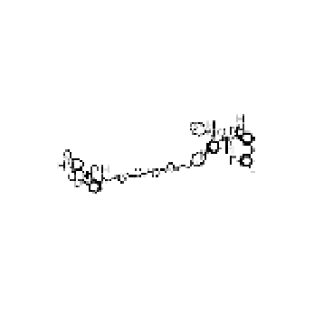 O=C1CCC(N2C(=O)c3cccc(NCCOCCOCCOCCOCCCN4CCN(c5ccc(C(=O)Nc6n[nH]c7ccc(Cc8cc(F)cc(F)c8)cc67)c(NC6CCOCC6)c5)CC4)c3C2=O)C(=O)N1